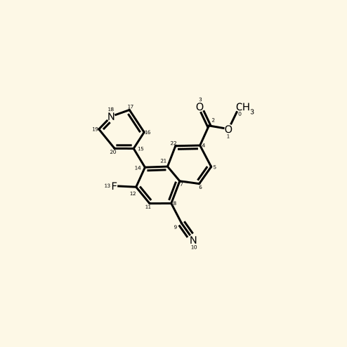 COC(=O)c1ccc2c(C#N)cc(F)c(-c3ccncc3)c2c1